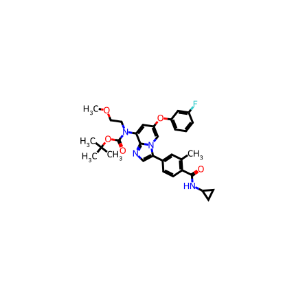 COCCN(C(=O)OC(C)(C)C)c1cc(Oc2cccc(F)c2)cn2c(-c3ccc(C(=O)NC4CC4)c(C)c3)cnc12